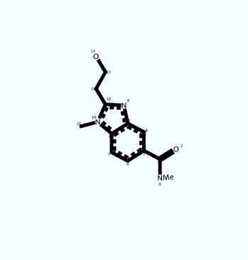 CNC(=O)c1ccc2c(c1)nc(CC[O])n2C